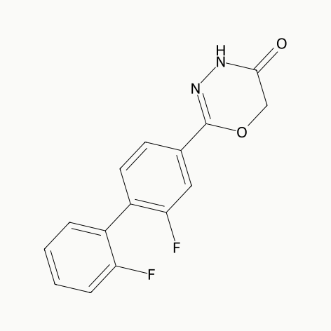 O=C1COC(c2ccc(-c3ccccc3F)c(F)c2)=NN1